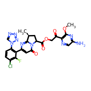 COc1nc(N)cnc1C(=O)COC(=O)C1C[C@H](C)c2nc(-c3c(-n4cnnn4)ccc(Cl)c3F)cc(=O)n21